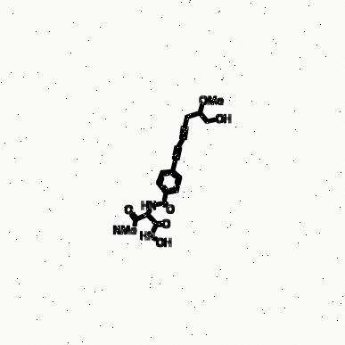 CNC(=O)C(NC(=O)c1ccc(C#CC#CCC(CO)OC)cc1)C(=O)NO